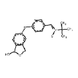 CC(C)(C)[N+]([O-])=Cc1ccc(Oc2ccc3c(c2)COB3O)nc1